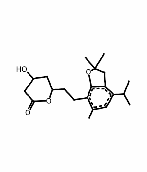 Cc1cc(C(C)C)c2c(c1CCC1CC(O)CC(=O)O1)OC(C)(C)C2